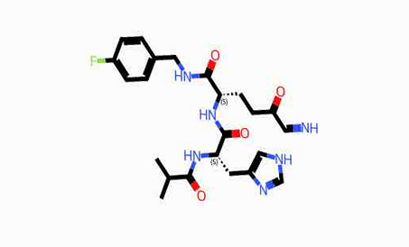 CC(C)C(=O)N[C@@H](Cc1c[nH]cn1)C(=O)N[C@@H](CCC(=O)C=N)C(=O)NCc1ccc(F)cc1